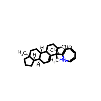 CC1(C2=CC=CC=CN2)C2=CC[C@H]3[C@@H]4CCC[C@@]4(C)CC[C@@H]3[C@@]2(C)CCC1C=O